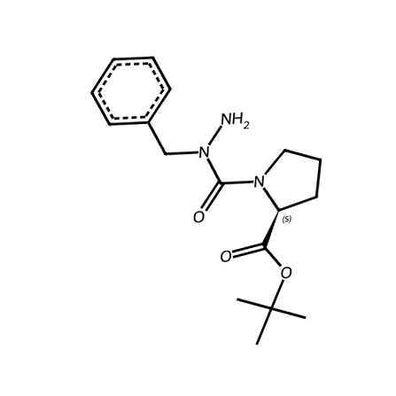 CC(C)(C)OC(=O)[C@@H]1CCCN1C(=O)N(N)Cc1ccccc1